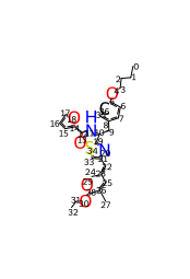 CCCCOc1ccc(C[C@H](NC(=O)c2ccco2)c2nc(/C=C(C)/C=C(/C)C(=O)OCC)cs2)cc1